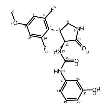 COc1cc(F)c([C@@H]2CNC(=O)[C@H]2NC(=O)Nc2cccc(O)c2)c(F)c1